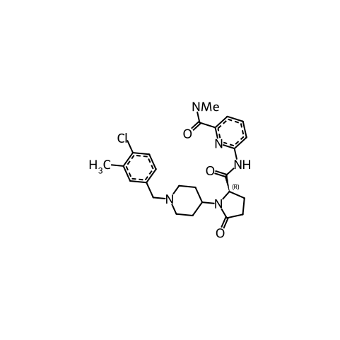 CNC(=O)c1cccc(NC(=O)[C@H]2CCC(=O)N2C2CCN(Cc3ccc(Cl)c(C)c3)CC2)n1